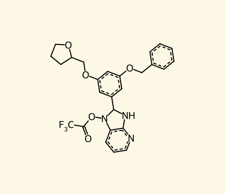 O=C(ON1c2cccnc2NC1c1cc(OCc2ccccc2)cc(OCC2CCCO2)c1)C(F)(F)F